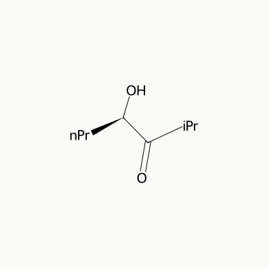 CCC[C@@H](O)C(=O)C(C)C